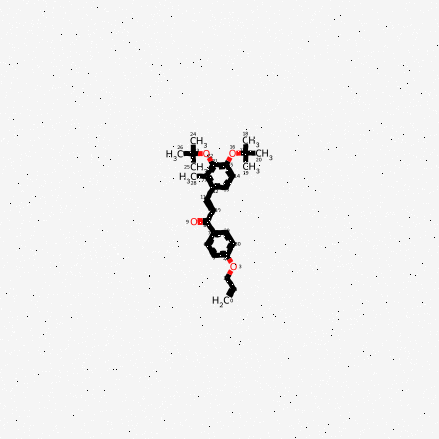 C=CCOc1ccc(C(=O)C=Cc2ccc(OC(C)(C)C)c(OC(C)(C)C)c2C)cc1